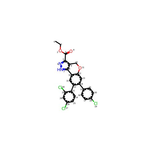 CCOC(=O)c1n[nH]c2c1COc1cc(-c3ccc(Cl)cc3)c(-c3ccc(Cl)cc3Cl)cc1-2